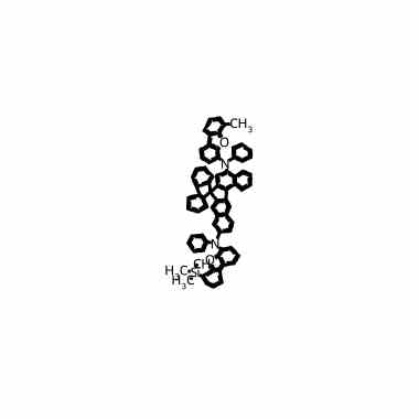 Cc1cccc2c1oc1c(N(c3ccccc3)c3cc4c(c5ccccc35)-c3cc5ccc(N(c6ccccc6)c6cccc7c6oc6c([Si](C)(C)C)cccc67)cc5cc3C43c4ccccc4-c4ccccc43)cccc12